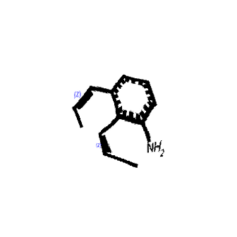 C/C=C\c1cccc(N)c1/C=C\C